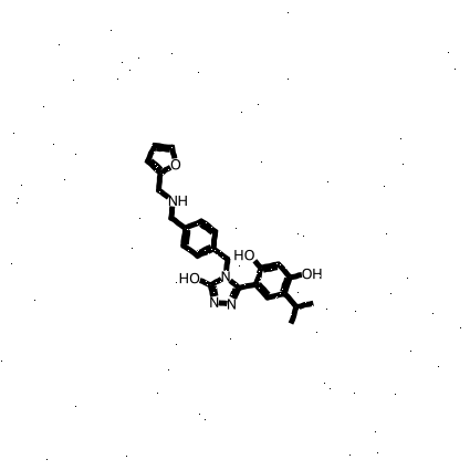 CC(C)c1cc(-c2nnc(O)n2Cc2ccc(CNCc3ccco3)cc2)c(O)cc1O